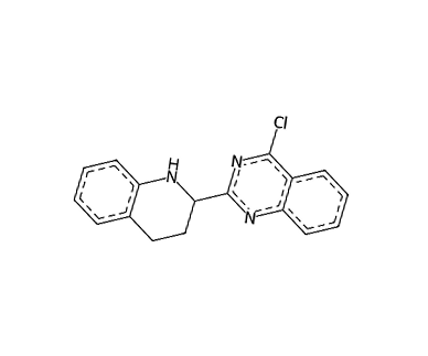 Clc1nc(C2CCc3ccccc3N2)nc2ccccc12